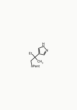 CCCCCCC(C)(CC)c1cn[nH]c1